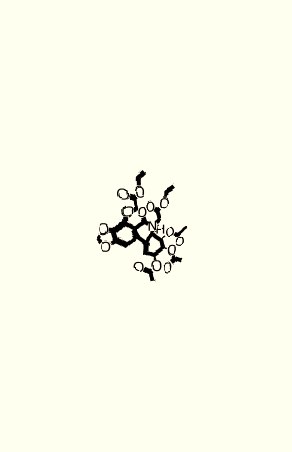 CCOC(=O)COc1c2c(cc3c1C(=O)N(CC(=O)OCC)[C@@H]1C3=C[C@H](OC(C)=O)[C@@H](OC(C)=O)[C@H]1OC(C)=O)OCO2